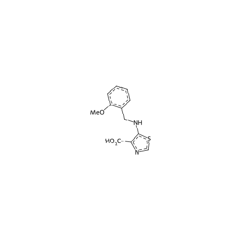 COc1ccccc1CNc1scnc1C(=O)O